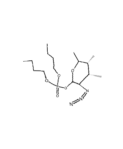 CCCCOP(=O)(OCCCC)OC1OC(C)[C@H](C)[C@H](C)C1N=[N+]=[N-]